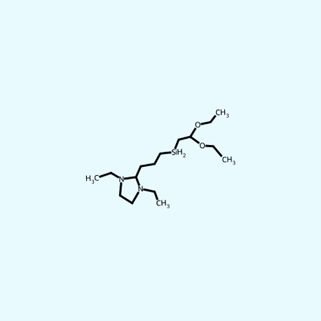 CCOC(C[SiH2]CCCC1N(CC)CCN1CC)OCC